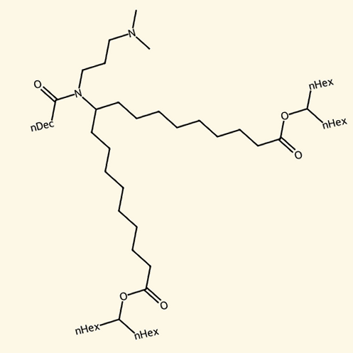 CCCCCCCCCCC(=O)N(CCCN(C)C)C(CCCCCCCCC(=O)OC(CCCCCC)CCCCCC)CCCCCCCCC(=O)OC(CCCCCC)CCCCCC